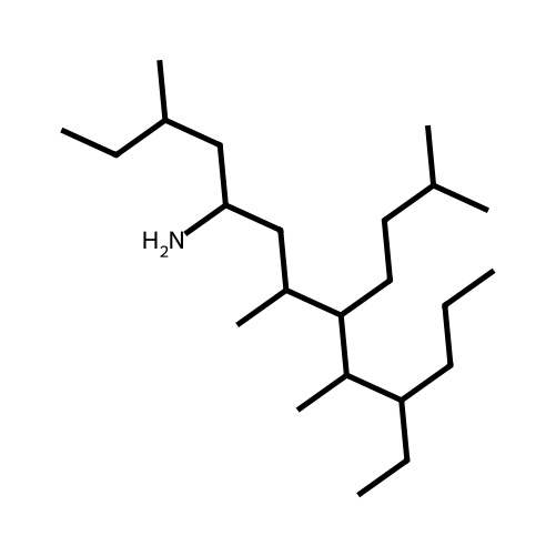 CCCC(CC)C(C)C(CCC(C)C)C(C)CC(N)CC(C)CC